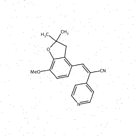 COc1ccc(/C=C(/C#N)c2ccncc2)c2c1OC(C)(C)C2